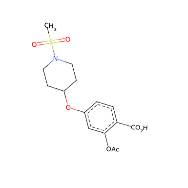 CC(=O)Oc1cc(OC2CCN(S(C)(=O)=O)CC2)ccc1C(=O)O